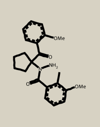 COc1ccccc1C(=O)C1(N(N)C(=O)c2cccc(OC)c2C)CCCC1